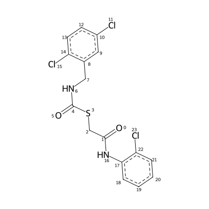 O=C(CSC(=O)NCc1cc(Cl)ccc1Cl)Nc1ccccc1Cl